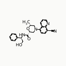 C[C@@H]1CN(c2ccc(C#N)c3ncccc23)C[C@H](C(=O)N[C@@H](CO)c2ccccc2)O1